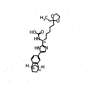 CCC1(CCCCC[C@H](NC(=O)O)c2ncc(-c3ccc4c(c3)[C@H]3CC[C@@H]4C3)[nH]2)OCCO1